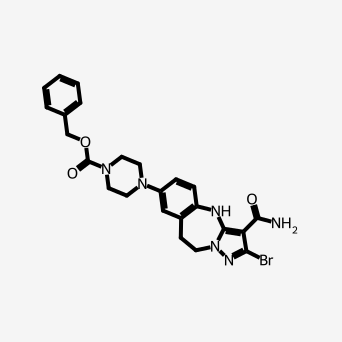 NC(=O)c1c(Br)nn2c1Nc1ccc(N3CCN(C(=O)OCc4ccccc4)CC3)cc1CC2